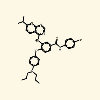 CCCN(CCC)c1ccc(Oc2ccc(C(=O)Nc3ccc(Br)cc3)cc2Nc2ncnc3nc(C(C)C)ccc23)cc1